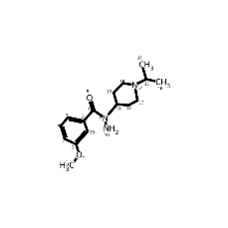 COc1cccc(C(=O)N(N)C2CCN(C(C)C)CC2)c1